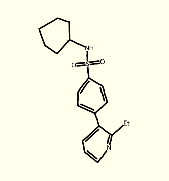 CCc1ncccc1-c1ccc(S(=O)(=O)NC2CCCCC2)cc1